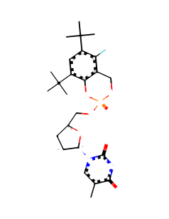 Cc1cn([C@@H]2O[C@](F)(COP3(=O)OCc4c(F)c(C(C)(C)C)cc(C(C)(C)C)c4O3)C[C@H]2O)c(=O)[nH]c1=O